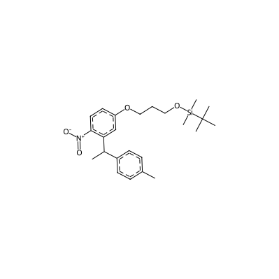 Cc1ccc(C(C)c2cc(OCCCO[Si](C)(C)C(C)(C)C)ccc2[N+](=O)[O-])cc1